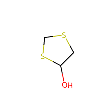 OC1CSCS1